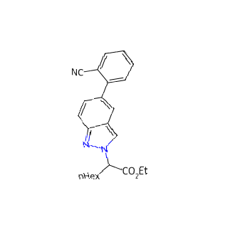 CCCCCCC(C(=O)OCC)n1cc2cc(-c3ccccc3C#N)ccc2n1